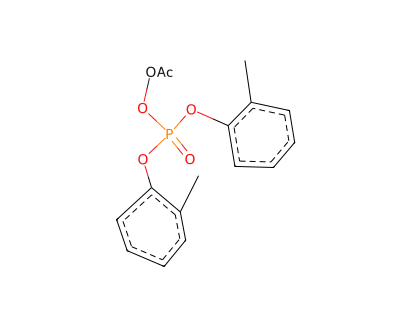 CC(=O)OOP(=O)(Oc1ccccc1C)Oc1ccccc1C